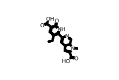 CCc1cc(C(=O)O)c(=O)[nH]c1C1=CC2C=C(C(=O)O)N(C)C2C=N1